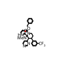 CNC1(c2ncc[nH]2)C(c2ccncn2)C(c2cccc(C(F)(F)F)c2)CCN1C(=O)OCc1ccccc1